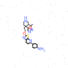 CC(C)C1CNCCC1(CCOc1nc2ccc(-c3ccc(N)cc3)nc2s1)c1cnno1